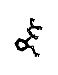 CC(C)Oc1ccccc1/[N+]([O-])=N/N(C(C)C)C(C)C